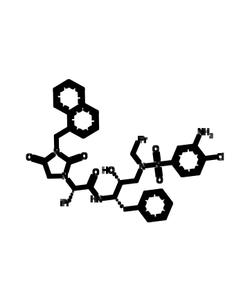 CC(C)CN(C[C@@H](O)[C@H](Cc1ccccc1)NC(=O)[C@H](C(C)C)N1CC(=O)N(Cc2cccc3ccccc23)C1=O)S(=O)(=O)c1ccc(Cl)c(N)c1